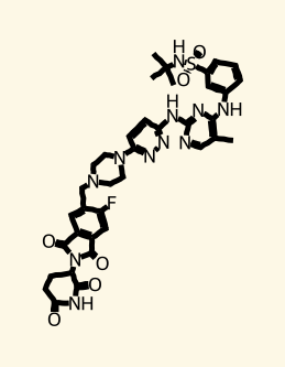 Cc1cnc(Nc2ccc(N3CCN(Cc4cc5c(cc4F)C(=O)N(C4CCC(=O)NC4=O)C5=O)CC3)nn2)nc1Nc1cccc(S(=O)(=O)NC(C)(C)C)c1